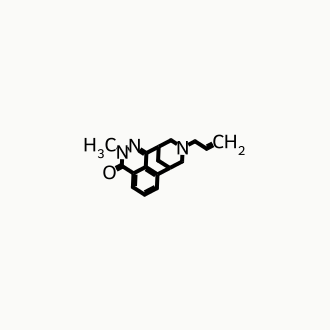 C=CCN1CC2CC(C1)c1nn(C)c(=O)c3cccc2c13